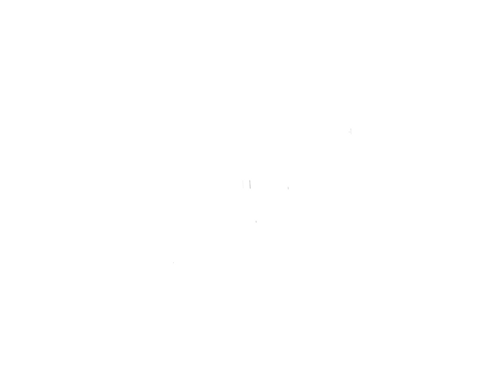 CC(C)(O)C(Cc1ccc(Br)cc1)Cc1ccc(Br)cc1